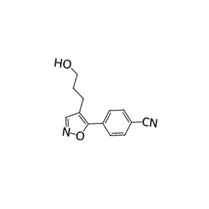 N#Cc1ccc(-c2oncc2CCCO)cc1